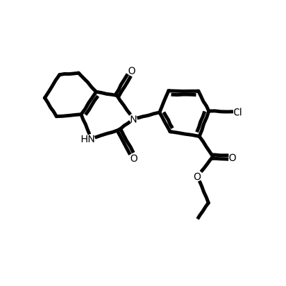 CCOC(=O)c1cc(-n2c(=O)[nH]c3c(c2=O)CCCC3)ccc1Cl